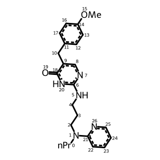 CCCN(CCCNc1ncc(Cc2ccc(OC)cc2)c(=O)[nH]1)c1ccccn1